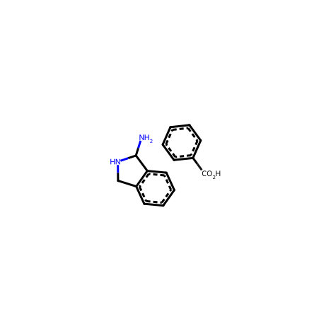 NC1NCc2ccccc21.O=C(O)c1ccccc1